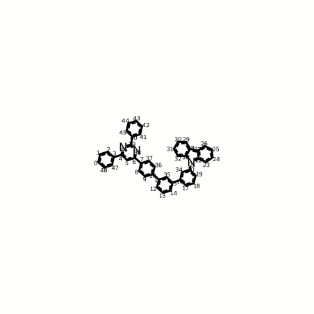 c1ccc(-c2cc(-c3ccc(-c4cccc(-c5cccc(-n6c7ccccc7c7ccccc76)c5)c4)cc3)nc(-c3ccccc3)n2)cc1